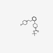 CC(C)(C)OC(=O)N1CCC(c2ccccc2CCN2CCC(F)CC2)CC1